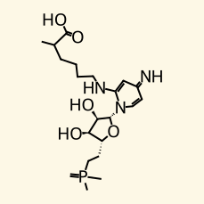 C=P(C)(C)CC[C@H]1O[C@@H](n2ccc(=N)cc2NCCCCC(C)C(=O)O)[C@H](O)[C@@H]1O